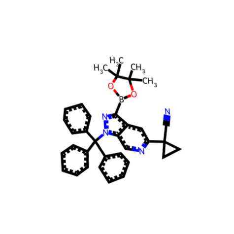 CC1(C)OB(c2nn(C(c3ccccc3)(c3ccccc3)c3ccccc3)c3cnc(C4(C#N)CC4)cc23)OC1(C)C